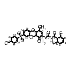 Cc1cc(NC(=O)NC(=O)c2c(F)cccc2F)c(C)c(Cl)c1Oc1ccc(S(=O)(=O)c2ccc(Cl)cc2)cc1